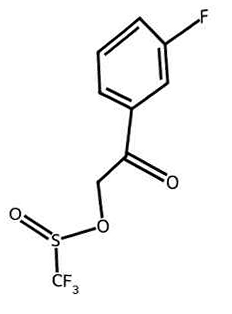 O=C(COS(=O)C(F)(F)F)c1cccc(F)c1